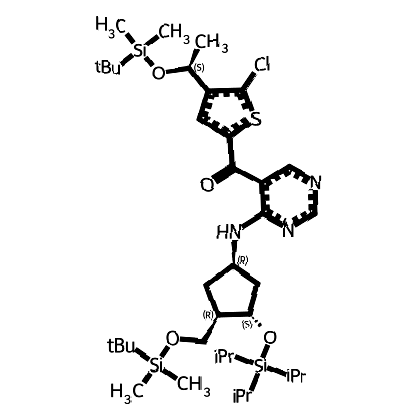 CC(C)[Si](O[C@H]1C[C@H](Nc2ncncc2C(=O)c2cc([C@H](C)O[Si](C)(C)C(C)(C)C)c(Cl)s2)C[C@@H]1CO[Si](C)(C)C(C)(C)C)(C(C)C)C(C)C